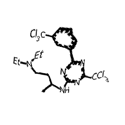 CCN(CC)CCC(C)Nc1nc(-c2cccc(C(Cl)(Cl)Cl)c2)nc(C(Cl)(Cl)Cl)n1